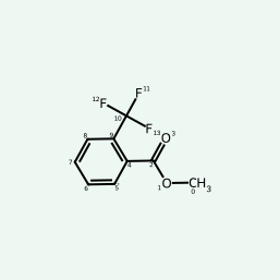 COC(=O)c1[c]cccc1C(F)(F)F